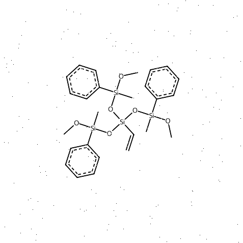 C=C[Si](O[Si](C)(OC)c1ccccc1)(O[Si](C)(OC)c1ccccc1)O[Si](C)(OC)c1ccccc1